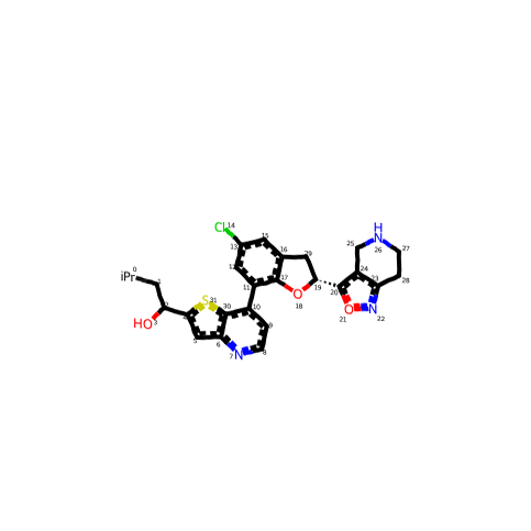 CC(C)CC(O)c1cc2nccc(-c3cc(Cl)cc4c3O[C@@H](c3onc5c3CNCC5)C4)c2s1